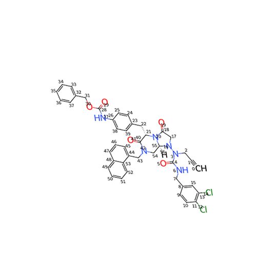 C#CCN(C(=O)NCc1ccc(Cl)c(Cl)c1)N1CC(=O)N2[C@@H](Cc3ccc(NC(=O)OCc4ccccc4)cc3)C(=O)N(Cc3cccc4ccccc34)C[C@@H]21